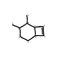 CC1CCC2C=CC2C1C